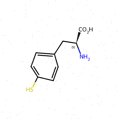 N[C@@H](Cc1ccc(S)cc1)C(=O)O